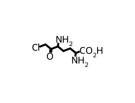 NC(CCC(N)C(=O)CCl)C(=O)O